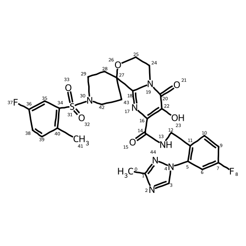 Cc1ncn(-c2cc(F)ccc2CNC(=O)c2nc3n(c(=O)c2O)CCOC32CCN(S(=O)(=O)c3cc(F)ccc3C)CC2)n1